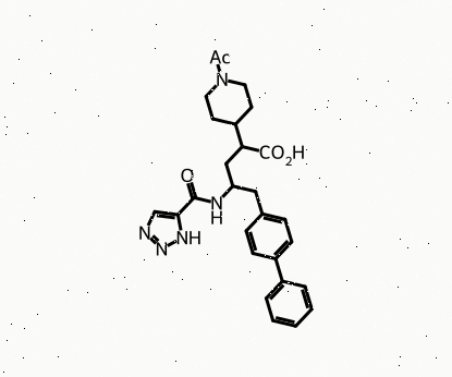 CC(=O)N1CCC(C(CC(Cc2ccc(-c3ccccc3)cc2)NC(=O)c2cnn[nH]2)C(=O)O)CC1